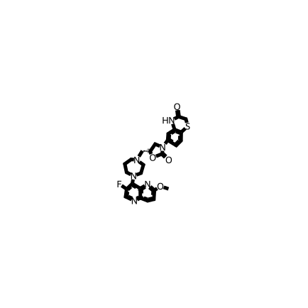 COc1ccc2ncc(F)c(N3CCCN(C[C@@H]4CN(c5ccc6c(c5)NC(=O)CS6)C(=O)O4)CC3)c2n1